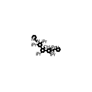 Cc1c(-c2cc(C(C)C)c(N=Cc3ccccn3)c(C(C)C)c2)cc(C(C)C)cc1-c1cc(C(C)C)c(N=Cc2ccccn2)c(C(C)C)c1